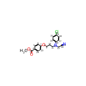 COC(=O)c1ccc(OCCCN(CC#N)c2ccc(Cl)cc2)cc1